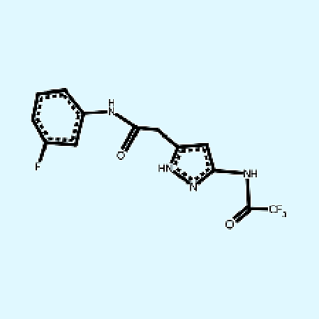 O=C(Cc1cc(NC(=O)C(F)(F)F)n[nH]1)Nc1cccc(F)c1